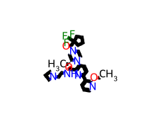 CCOc1ncccc1-c1ccc(N2CCN(C(=O)C3(C(F)(F)F)CCCC3)C[C@H]2CC)c(C(=O)NCCN2CCC2)n1